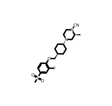 C[C@H]1CN([C@H]2CC[C@H](COc3ccc(S(C)(=O)=O)cc3F)CC2)CCN1C#N